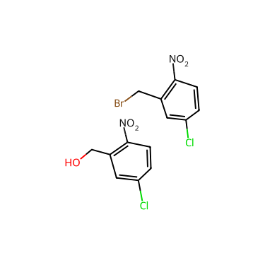 O=[N+]([O-])c1ccc(Cl)cc1CBr.O=[N+]([O-])c1ccc(Cl)cc1CO